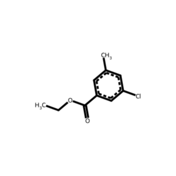 CCOC(=O)c1cc(C)cc(Cl)c1